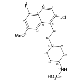 COc1cc(F)c2ncc(Cl)c(CCN3CCC(NC(=O)O)CC3)c2c1